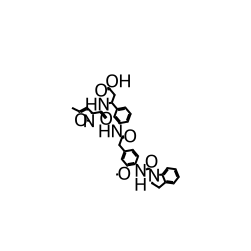 COc1cc(CC(=O)Nc2cccc(C(CC(=O)O)NC(=O)c3cc(C)on3)c2)ccc1NC(=O)N1CCc2ccccc21